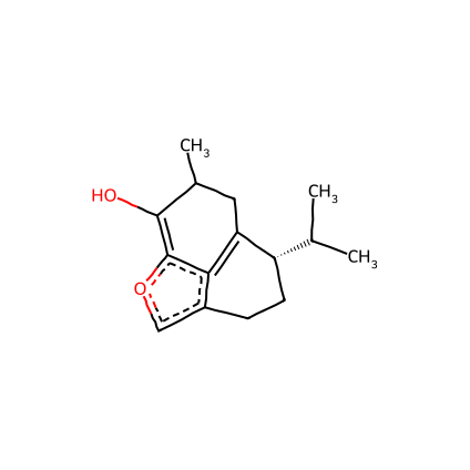 CC1CC2=c3c(coc3=C1O)CC[C@H]2C(C)C